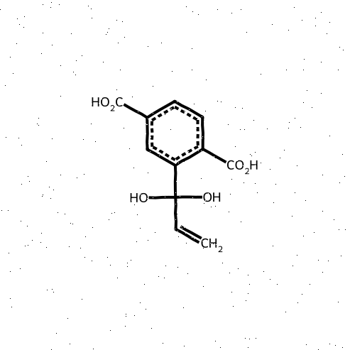 C=CC(O)(O)c1cc(C(=O)O)ccc1C(=O)O